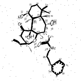 C=C[C@@]1(C)CC(=O)[C@]2(O)[C@@]3(C)[C@@H](O)CCC(C)(C)[C@@H]3[C@H](O)[C@H](OC(=O)NCc3ccccc3)[C@@]2(C)O1